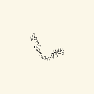 CNC(=O)C(CCC=O)N1C(=O)c2ccc(NCC(=O)N3CCN(CC4CCN(c5ccc(NC(=O)C6CCN(c7ccc(C#N)c(C(F)(F)F)c7)CC6)nc5)CC4)CC3)cc2C1=O